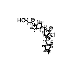 O=C(CCO)N1CCc2cc(Cn3ccc(OCc4ccc(F)cc4F)c(Cl)c3=O)ccc21